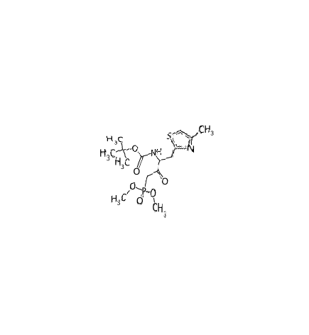 COP(=O)(CC(=O)C(Cc1nc(C)cs1)NC(=O)OC(C)(C)C)OC